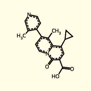 Cc1cnccc1-c1ccn2c(=O)c(C(=O)O)cc(C3CC3)c2c1C